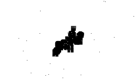 CN1CCN(C(=O)C2(C)COC(c3nc(-c4ccc(F)cc4)c(-c4ccnc(N5CCCC5)n4)[nH]3)OC2)CC1